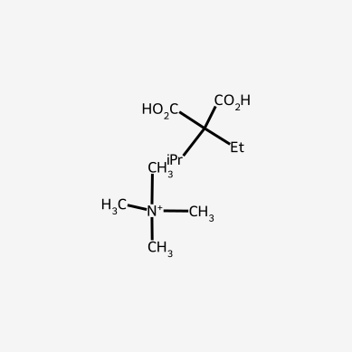 CCC(C(=O)O)(C(=O)O)C(C)C.C[N+](C)(C)C